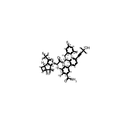 CC(C)(O)C#Cc1ccc(-c2cc(F)c(F)c(C(N)=O)c2)c([C@H](Cc2cc(F)cc(F)c2)NC(=O)Cn2nc(C(F)(F)F)c3c2C(F)(F)[C@@H]2CC[C@H]32)n1